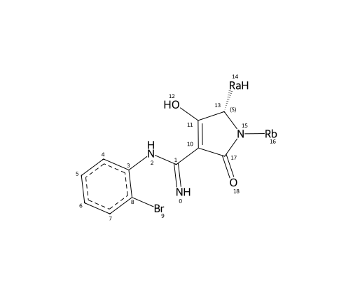 N=C(Nc1ccccc1Br)C1=C(O)[C@H]([RaH])[N]([Rb])C1=O